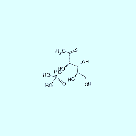 CC(=S)[C@H](O)[C@H](O)[C@H](O)CO.O=P(O)(O)O